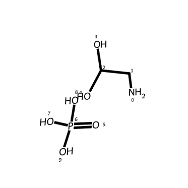 NCC(O)O.O=P(O)(O)O